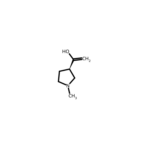 C=C(O)[C@@H]1CCN(C)C1